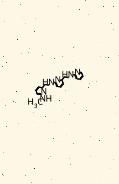 CNc1cccc(CCNc2cccc(CCNc3ccccn3)n2)n1